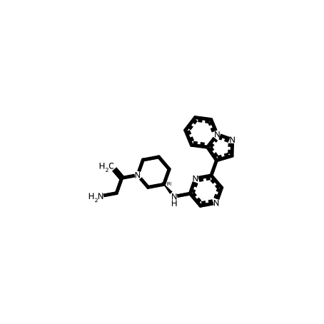 C=C(CN)N1CCC[C@@H](Nc2cncc(-c3cnn4ccccc34)n2)C1